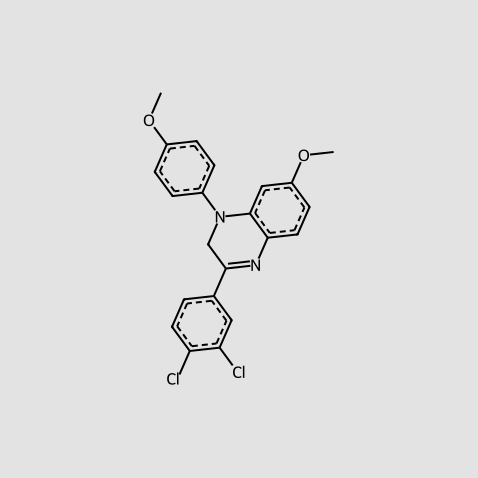 COc1ccc(N2CC(c3ccc(Cl)c(Cl)c3)=Nc3ccc(OC)cc32)cc1